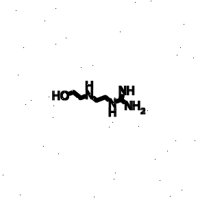 N=C(N)NCCNCCO